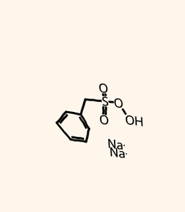 O=S(=O)(Cc1ccccc1)OO.[Na].[Na]